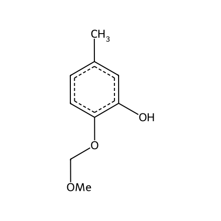 COCOc1ccc(C)cc1O